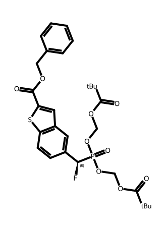 CC(C)(C)C(=O)OCOP(=O)(OCOC(=O)C(C)(C)C)[C@@H](F)c1ccc2sc(C(=O)OCc3ccccc3)cc2c1